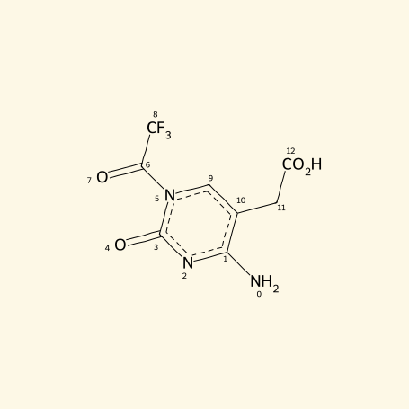 Nc1nc(=O)n(C(=O)C(F)(F)F)cc1CC(=O)O